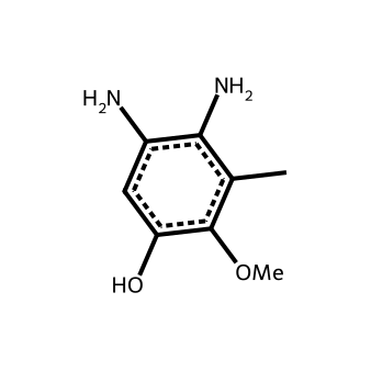 COc1c(O)cc(N)c(N)c1C